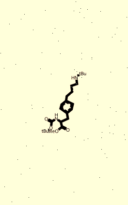 COC(=O)C(Cc1ccc(CCCCNC(C)(C)C)cc1)NC(=O)OC(C)(C)C